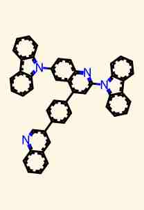 c1ccc2ncc(-c3ccc(-c4cc(-n5c6ccccc6c6ccccc65)nc5ccc(-n6c7ccccc7c7ccccc76)cc45)cc3)cc2c1